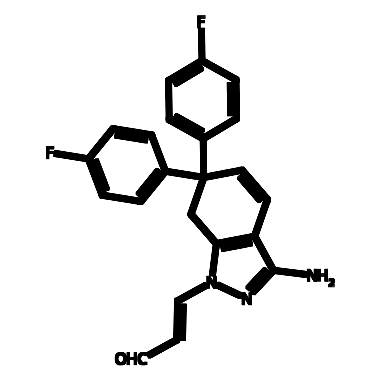 Nc1nn(C=CC=O)c2c1C=CC(c1ccc(F)cc1)(c1ccc(F)cc1)C2